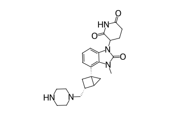 Cn1c(=O)n(C2CCC(=O)NC2=O)c2cccc([C@]34CC3[C@H](CN3CCNCC3)C4)c21